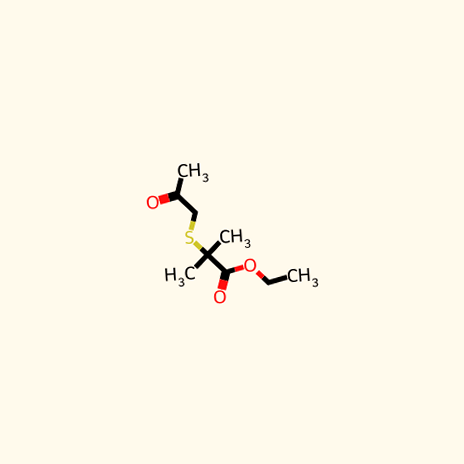 CCOC(=O)C(C)(C)SCC(C)=O